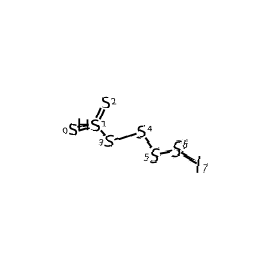 S=[SH](=S)SSSSI